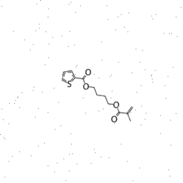 C=C(C)C(=O)OCCCCOC(=O)c1cccs1